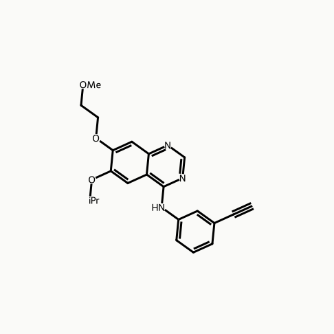 C#Cc1cccc(Nc2ncnc3cc(OCCOC)c(OC(C)C)cc23)c1